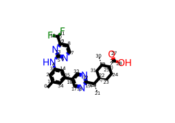 Cc1cc(Nc2nccc(C(F)F)n2)cc(-c2cnc([C@@H](C)[C@@H]3CC[C@@H](C(=O)O)[C@@H](C)C3)nc2)c1